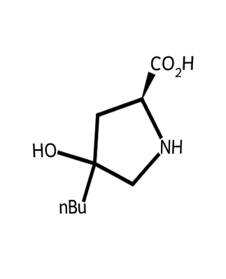 CCCCC1(O)CN[C@H](C(=O)O)C1